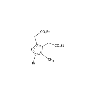 CCOC(=O)Cc1sc(Br)c(C)c1CC(=O)OCC